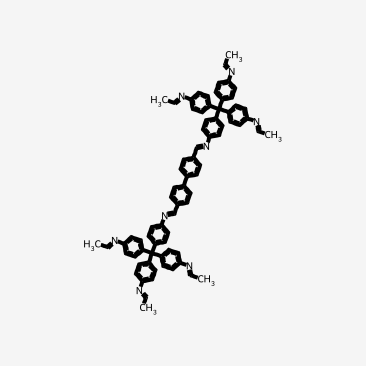 C/C=N/c1ccc(C(c2ccc(/N=C/C)cc2)(c2ccc(/N=C/C)cc2)c2ccc(/N=C/c3ccc(-c4ccc(/C=N/c5ccc(C(c6ccc(/N=C/C)cc6)(c6ccc(/N=C/C)cc6)c6ccc(/N=C/C)cc6)cc5)cc4)cc3)cc2)cc1